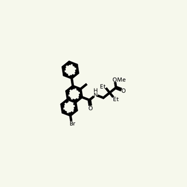 CCC(CC)(CNC(=O)c1c(C)c(-c2ccccc2)cc2ccc(Br)cc12)C(=O)OC